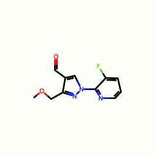 COCc1nn(-c2ncccc2F)cc1C=O